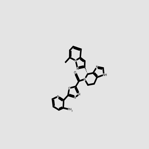 Cc1cccc2cc([C@@H]3c4nc[nH]c4CCN3C(=O)c3nnc(-c4ncccc4P)o3)nn12